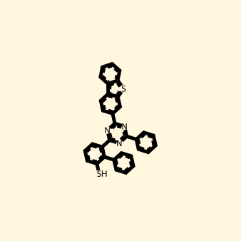 Sc1cccc(-c2nc(-c3ccccc3)nc(-c3ccc4c(c3)sc3ccccc34)n2)c1-c1ccccc1